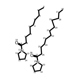 CCCCCCCCCC(=O)N1CCCC1.CCCCCCCCCCCC(=O)N1CCCC1